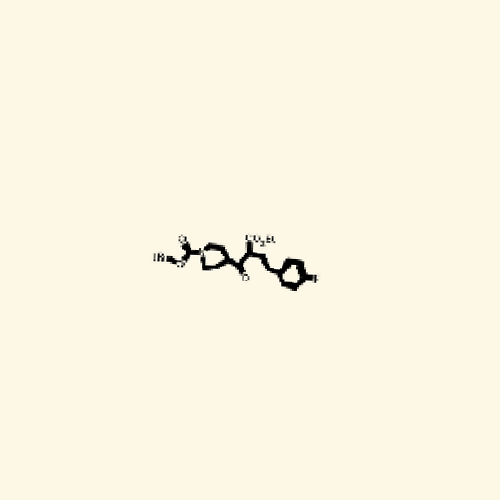 CCOC(=O)C(CCc1ccc(F)cc1)C(=O)C1CCN(C(=O)OC(C)(C)C)CC1